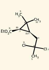 CCOC(=O)[C@@H]1[C@H](CC(C)(Cl)Cl)C1(C)C